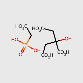 O=C(O)CC(O)(CC(=O)O)C(=O)O.O=C(O)CP(=O)(O)O